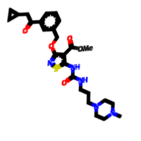 COC(=O)c1c(OCc2cccc(C(=O)CC3CC3)c2)nsc1NC(=O)NCCCN1CCN(C)CC1